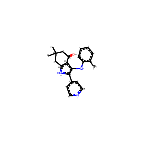 CC(C)c1ccccc1Nc1c(-c2ccncc2)[nH]c2c1C(=O)CC(C)(C)C2